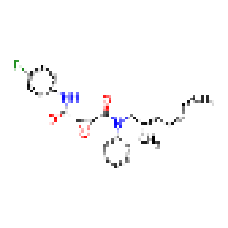 C=C/C=C\C=C(/C)CN(C(=O)C1O[C@@H]1C(=O)Nc1ccc(F)cc1)c1ccccc1